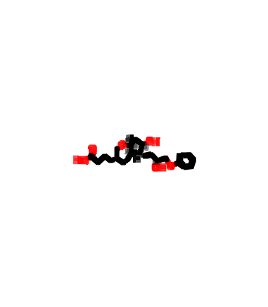 O=C(O)CCCC1CC[C@@H]2[C@@H](C=C[C@@H](O)COc3ccccc3)[C@H](O)C[C@@H]2OC1